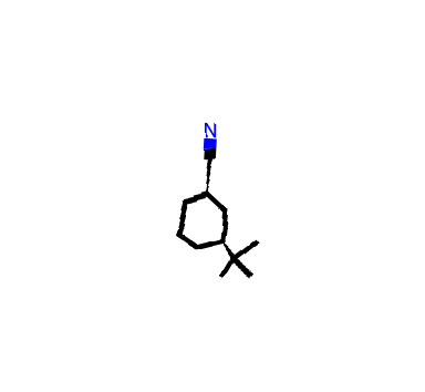 CC(C)(C)[C@H]1CCC[C@@H](C#N)C1